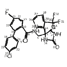 O=C1NC(=O)C(CNC(=O)c2ccc(F)cc2-c2ccc(Cl)cc2)(c2ncccc2C(F)(F)F)N1